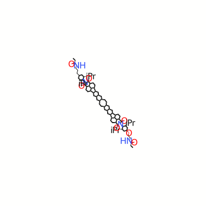 C=CC(=O)NCCCc1cc(C(C)C)c(-n2c(=O)c3ccc4c5cc6cc7ccc8cc9cc%10c(cc9cc8ccc7cc6cc5c5ccc(c2=O)c3c45)c2ccc3c(=O)n(-c4c(C(C)C)cc(OCCNC(=O)C=C)cc4C(C)C)c(=O)c4ccc%10c2c43)c(C(C)C)c1